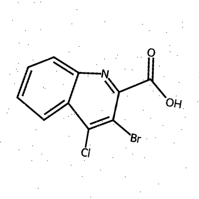 O=C(O)c1nc2ccccc2c(Cl)c1Br